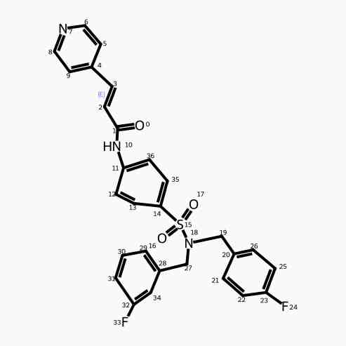 O=C(/C=C/c1ccncc1)Nc1ccc(S(=O)(=O)N(Cc2ccc(F)cc2)Cc2cccc(F)c2)cc1